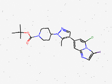 Cc1c(-c2cc(Cl)n3c(I)cnc3c2)cnn1C1CCN(C(=O)OC(C)(C)C)CC1